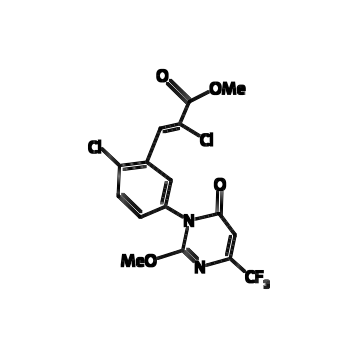 COC(=O)C(Cl)=Cc1cc(-n2c(OC)nc(C(F)(F)F)cc2=O)ccc1Cl